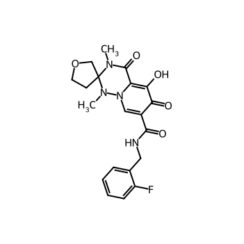 CN1C(=O)c2c(O)c(=O)c(C(=O)NCc3ccccc3F)cn2N(C)C12CCOC2